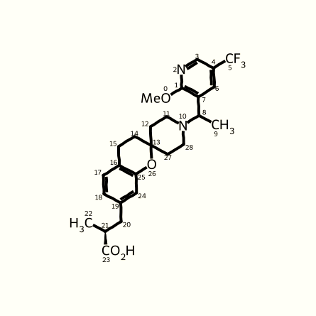 COc1ncc(C(F)(F)F)cc1C(C)N1CCC2(CCc3ccc(C[C@H](C)C(=O)O)cc3O2)CC1